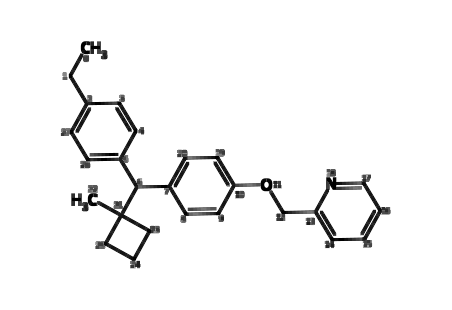 CCc1ccc(C(c2ccc(OCc3ccccn3)cc2)C2(C)CCC2)cc1